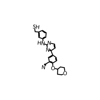 N#Cc1cc(-c2ccnc(Nc3cccc(CS)c3)n2)ccc1OC1CCOCC1